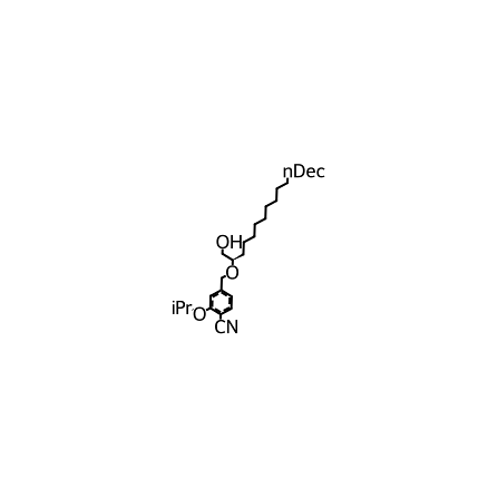 CCCCCCCCCCCCCCCCCCC[C@H](CO)OCc1ccc(C#N)c(OC(C)C)c1